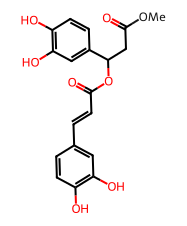 COC(=O)CC(OC(=O)/C=C/c1ccc(O)c(O)c1)c1ccc(O)c(O)c1